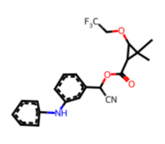 CC1(C)C(OCC(F)(F)F)C1C(=O)OC(C#N)c1cccc(Nc2ccccc2)c1